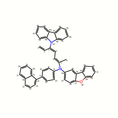 C=C/C(=C\C=C(/C)N(c1ccc(-c2cccc3ccccc23)cc1)c1ccc2oc3ccccc3c2c1)n1c2ccccc2c2ccccc21